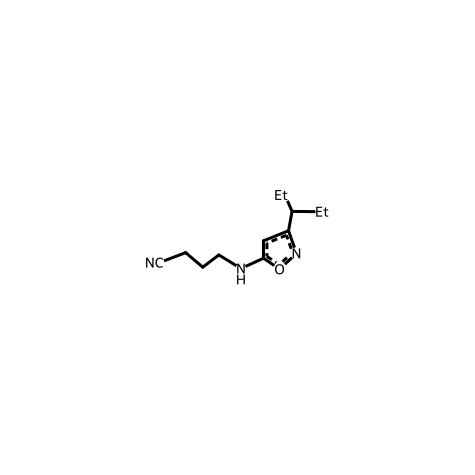 CCC(CC)c1cc(NCCCC#N)on1